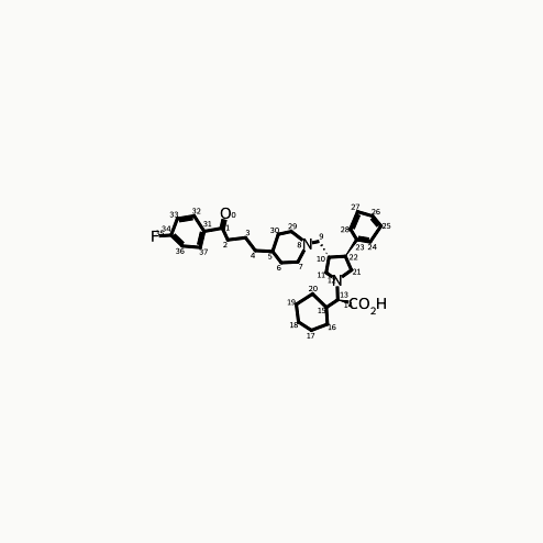 O=C(CCCC1CCN(C[C@H]2CN([C@@H](C(=O)O)C3CCCCC3)C[C@@H]2c2ccccc2)CC1)c1ccc(F)cc1